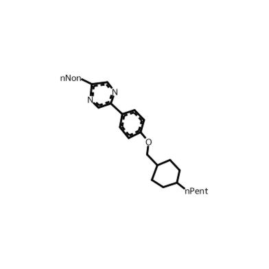 CCCCCCCCCc1cnc(-c2ccc(OCC3CCC(CCCCC)CC3)cc2)cn1